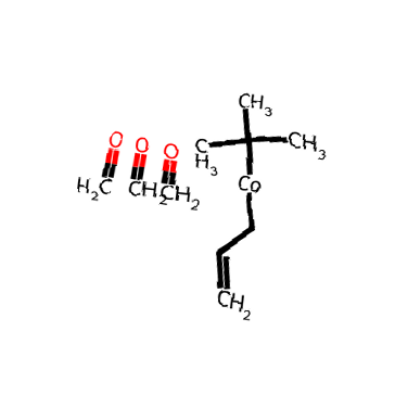 C=C[CH2][Co][C](C)(C)C.C=O.C=O.C=O